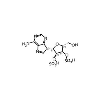 Nc1ncnc2c1ncn2[C@@H]1O[C@H](CO)[C@@H](OS(=O)(=O)O)[C@H]1OS(=O)(=O)O